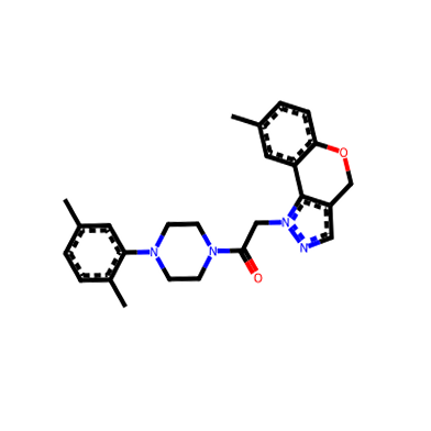 Cc1ccc2c(c1)-c1c(cnn1CC(=O)N1CCN(c3cc(C)ccc3C)CC1)CO2